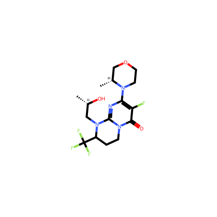 C[C@H](O)CN1c2nc(N3CCOC[C@H]3C)c(F)c(=O)n2CCC1C(F)(F)F